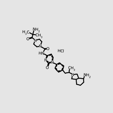 CC(Cc1ccc(-n2ccc(NC(=O)N3CCN(C(=O)C(C)(C)N)CC3)nc2=O)cc1)N1CC2CCCC(N)C2C1.Cl